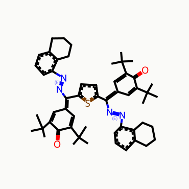 CC(C)(C)C1=CC(=C(/N=N/c2cccc3c2CCCC3)c2ccc(C(/N=N/c3cccc4c3CCCC4)=C3C=C(C(C)(C)C)C(=O)C(C(C)(C)C)=C3)s2)C=C(C(C)(C)C)C1=O